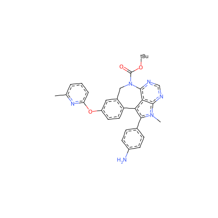 Cc1cccc(Oc2ccc3c(c2)CN(C(=O)OC(C)(C)C)c2ncnc4c2c-3c(-c2ccc(N)cc2)n4C)n1